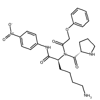 NCCCC[C@@H](C(=O)Nc1ccc([N+](=O)[O-])cc1)N(C(=O)COc1ccccc1)C(=O)[C@@H]1CCCN1